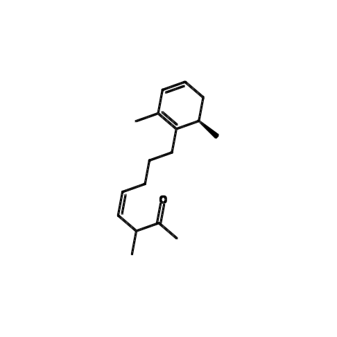 CC(=O)C(C)/C=C\CCCC1=C(C)C=CC[C@H]1C